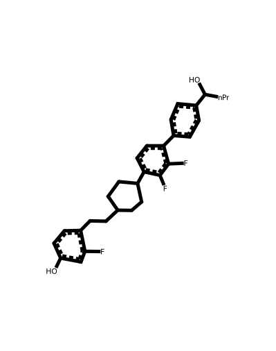 CCCC(O)c1ccc(-c2ccc(C3CCC(CCc4ccc(O)cc4F)CC3)c(F)c2F)cc1